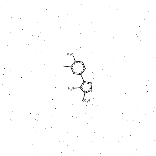 COc1ccc(-c2nsc(C(=O)O)c2N)cc1C